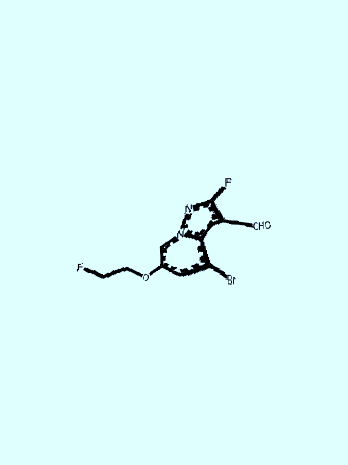 O=Cc1c(F)nn2cc(OCCF)cc(Br)c12